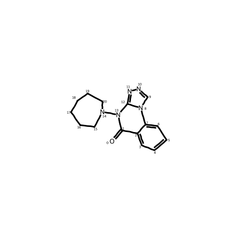 O=c1c2ccccc2n2cnnc2n1N1CCCCCC1